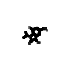 CC(C)N1C(=O)[CH]([Fe])c2cc(N)cc(F)c21